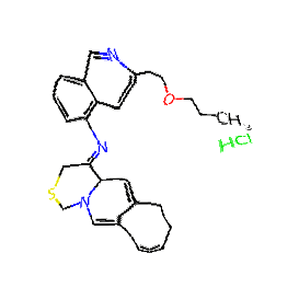 CCCOCc1cc2c(N=C3CSCN4C=C5C=CCCC5=CC34)cccc2cn1.Cl